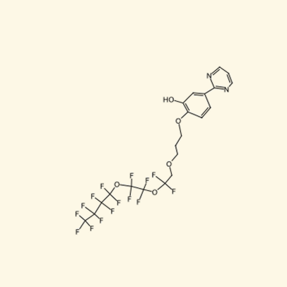 Oc1cc(-c2ncccn2)ccc1OCCCOCC(F)(F)OC(F)(F)C(F)(F)OC(F)(F)C(F)(F)C(F)(F)C(F)(F)F